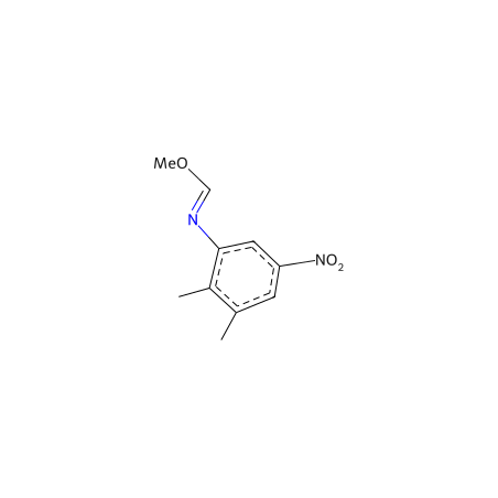 COC=Nc1cc([N+](=O)[O-])cc(C)c1C